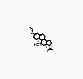 C=C(I)[C@H]1CCC2C3CC=C4C=C(OCC)CC[C@]4(C)C3[C@H](O)C[C@@]21C